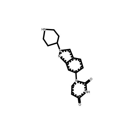 O=c1ccn(-c2ccc3cn(C4CCNCC4)nc3c2)c(=O)[nH]1